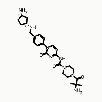 CC(C)(N)C(=O)N1CCN(C(=O)Nc2ccn(-c3ccc(CN[C@@H]4CC[C@H](N)C4)cc3)c(=O)n2)CC1